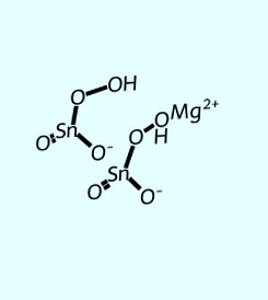 [Mg+2].[O]=[Sn]([O-])[O]O.[O]=[Sn]([O-])[O]O